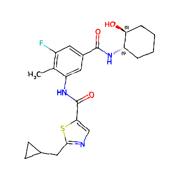 Cc1c(F)cc(C(=O)N[C@H]2CCCC[C@@H]2O)cc1NC(=O)c1cnc(CC2CC2)s1